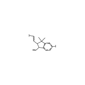 C=CC1c2ccc(I)cc2C(C)(C)C1/C=C/I